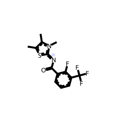 Cc1s/c(=N\C(=O)c2cccc(C(F)(F)F)c2F)n(C)c1C